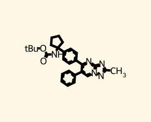 Cc1nc2nc(-c3ccc(C4(NC(=O)OC(C)(C)C)CCCC4)cc3)c(-c3ccccc3)cn2n1